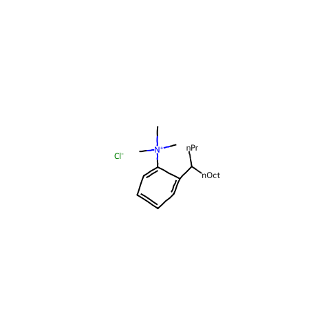 CCCCCCCCC(CCC)c1ccccc1[N+](C)(C)C.[Cl-]